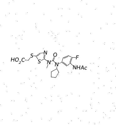 CC(=O)Nc1cc(N(C(=O)N(C)c2ncc(SCC(=O)O)s2)C2CCCC2)ccc1F